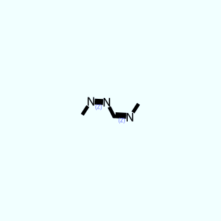 C/N=C\N=N/C